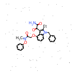 CCc1c(C(=O)C(N)=O)c2c(OCC(=O)N(C)Oc3ccccc3)cccc2n1Cc1ccccc1